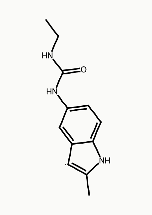 CCNC(=O)Nc1ccc2[nH]c(C)[c]c2c1